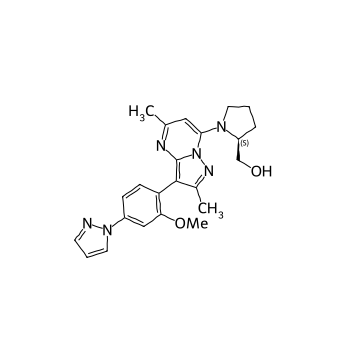 COc1cc(-n2cccn2)ccc1-c1c(C)nn2c(N3CCC[C@H]3CO)cc(C)nc12